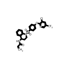 C=CC(=O)NC1CCN(S(=O)(=O)c2ccc(Oc3ncc(C(F)(F)F)cc3Cl)cc2)c2ccccc21